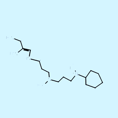 CN(CCCN/C=C(\N)CN)CCCN(C)C1CCCCC1